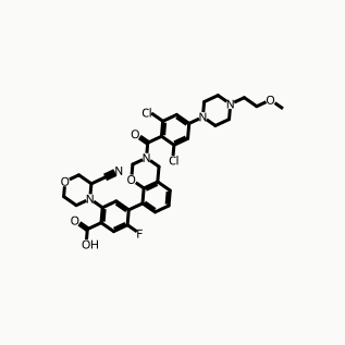 COCCN1CCN(c2cc(Cl)c(C(=O)N3COc4c(cccc4-c4cc(N5CCOCC5C#N)c(C(=O)O)cc4F)C3)c(Cl)c2)CC1